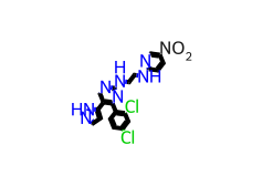 O=[N+]([O-])c1ccc(NCCNc2ncc(-c3ccn[nH]3)c(-c3ccc(Cl)cc3Cl)n2)nc1